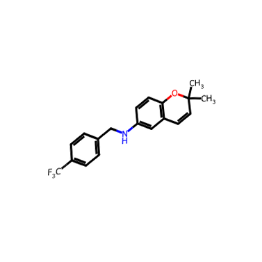 CC1(C)C=Cc2cc(NCc3ccc(C(F)(F)F)cc3)ccc2O1